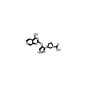 O=C(O)N1CC[C@H](c2n[nH]cc2Oc2nc(O)c3ccncc3n2)C1